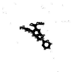 COC(=O)c1cc2nn(C3CCCCO3)cc2cc1C#CC(C)C